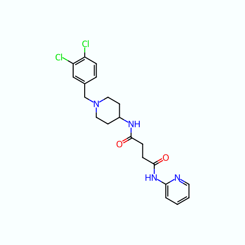 O=C(CCC(=O)NC1CCN(Cc2ccc(Cl)c(Cl)c2)CC1)Nc1ccccn1